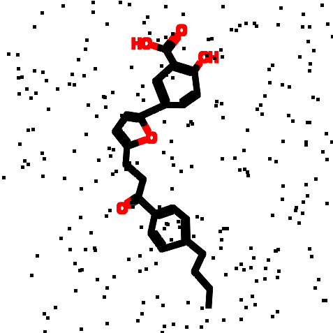 CCCCc1ccc(C(=O)CCc2ccc(-c3ccc(O)c(C(=O)O)c3)o2)cc1